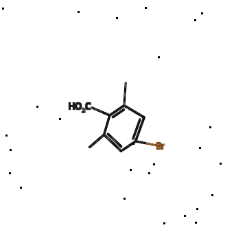 Cc1cc(Br)cc(C)c1C(=O)O